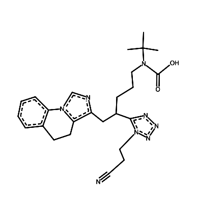 CC(C)(C)N(CCCC(Cc1ncn2c1CCc1ccccc1-2)c1nnnn1CCC#N)C(=O)O